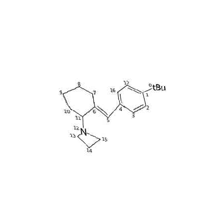 CC(C)(C)c1ccc(C=C2CCCCC2N2CCC2)cc1